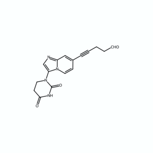 O=CCCC#Cc1ccn2c(N3CCC(=O)NC3=O)cnc2c1